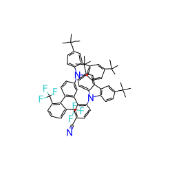 CC(C)(C)c1ccc2c(c1)c1cc(C(C)(C)C)ccc1n2-c1ccc(-c2c(C(F)(F)F)cccc2C(F)(F)F)c(-c2cc(C#N)ccc2-n2c3ccc(C(C)(C)C)cc3c3cc(C(C)(C)C)ccc32)c1